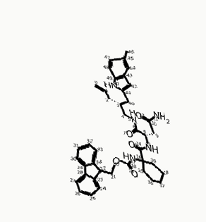 C=CC[C@@H](CNC(=O)[C@H](CC(N)=O)NC(=O)C1(NC(=O)OCC2c3ccccc3-c3ccccc32)CCCCC1)Cc1cc2cc(C)ccc2[nH]1